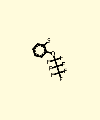 FC(F)(F)C(F)(F)C(F)(F)Oc1ccccc1[S]